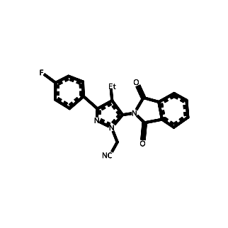 CCc1c(-c2ccc(F)cc2)nn(CC#N)c1N1C(=O)c2ccccc2C1=O